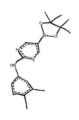 Cc1ccc(Nc2ncc(B3OC(C)(C)C(C)(C)O3)cn2)cc1C